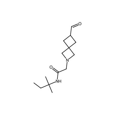 CCC(C)(C)NC(=O)CN1CC2(CC(C=O)C2)C1